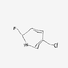 FC1C=CC(Cl)=CN1